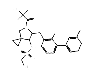 BCS(=O)(=O)NC1C(Cc2cccc(C3=CCCC(C)=C3)c2F)N(C(=O)C(C)(C)O)CC12CC2